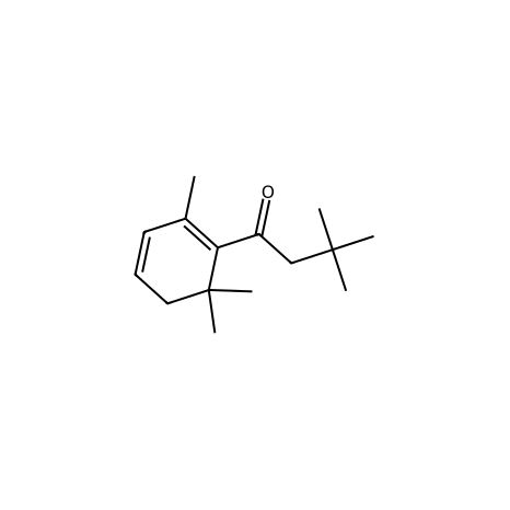 CC1=C(C(=O)CC(C)(C)C)C(C)(C)CC=C1